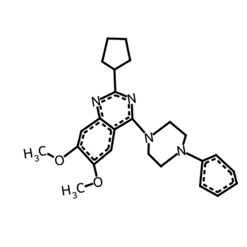 COc1cc2nc(C3CCCC3)nc(N3CCN(c4ccccc4)CC3)c2cc1OC